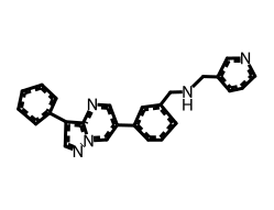 c1ccc(-c2cnn3cc(-c4cccc(CNCc5cccnc5)c4)cnc23)cc1